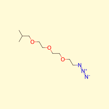 CC(C)COCCOCCOCCN=[N+]=[N-]